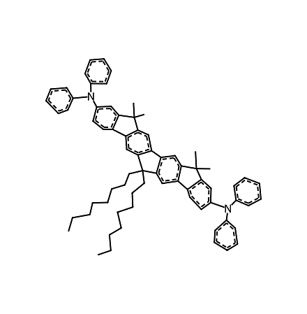 CCCCCCCCC1(CCCCCCCC)c2cc3c(cc2-c2cc4c(cc21)-c1ccc(N(c2ccccc2)c2ccccc2)cc1C4(C)C)C(C)(C)c1cc(N(c2ccccc2)c2ccccc2)ccc1-3